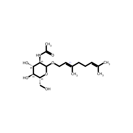 CC(=O)N[C@H]1C(OC/C=C(\C)CCC=C(C)C)O[C@H](CO)[C@@H](O)[C@@H]1O